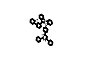 c1ccc(-c2cc(-c3ccc(-n4c5ccccc5n5c6ccccc6c(-c6cccc7c6oc6ccccc67)c45)cc3)nc(-c3ccccc3)n2)cc1